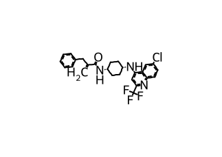 C=C(Cc1ccccc1)C(=O)N[C@H]1CC[C@@H](Nc2cc(C(F)(F)F)nc3ccc(Cl)cc23)CC1